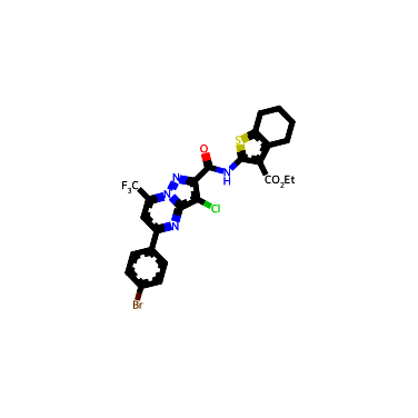 CCOC(=O)c1c(NC(=O)c2nn3c(C(F)(F)F)cc(-c4ccc(Br)cc4)nc3c2Cl)sc2c1CCCC2